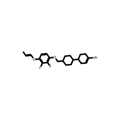 C/C=C/Oc1ccc(OCC2CCC(C3CC=C(CCC)CC3)CC2)c(F)c1F